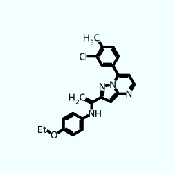 C=C(Nc1ccc(OCC)cc1)c1cc2nccc(-c3ccc(C)c(Cl)c3)n2n1